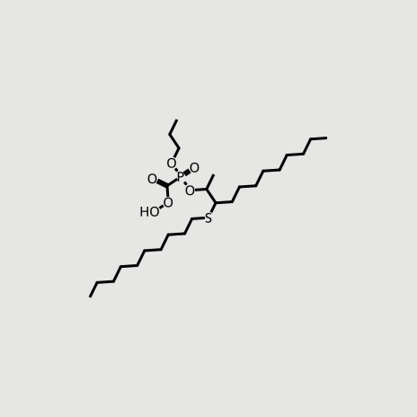 CCCCCCCCCCSC(CCCCCCCCC)C(C)OP(=O)(OCCC)C(=O)OO